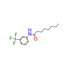 CCCCCCCC(=O)Nc1cccc(C(F)(F)F)c1